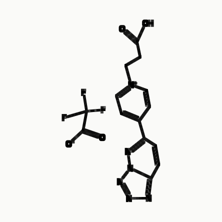 O=C(O)CC[n+]1ccc(-c2ccc3nnnn3n2)cc1.O=C([O-])C(F)(F)F